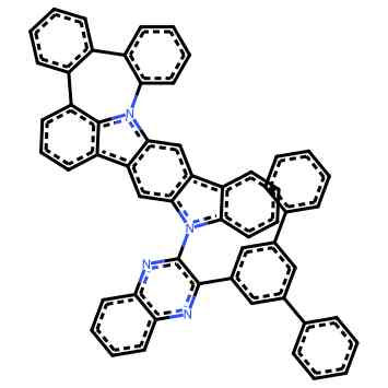 c1ccc(-c2cc(-c3ccccc3)cc(-c3nc4ccccc4nc3-n3c4ccccc4c4cc5c(cc43)c3cccc4c3n5-c3ccccc3-c3ccccc3-4)c2)cc1